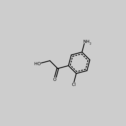 Nc1ccc(Cl)c(C(=O)CO)c1